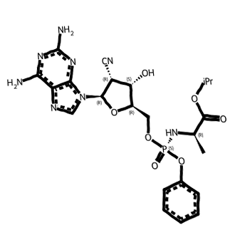 CC(C)OC(=O)[C@@H](C)N[P@](=O)(OC[C@H]1O[C@@H](n2cnc3c(N)nc(N)nc32)[C@H](C#N)[C@@H]1O)Oc1ccccc1